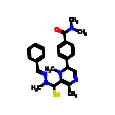 CC1=C(C(S)N(C)/N=C/c2ccccc2)N(C)C(c2ccc(C(=O)N(C)C)cc2)C=N1